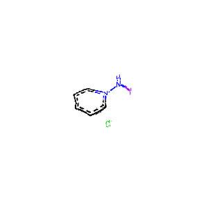 IN[n+]1ccccc1.[Cl-]